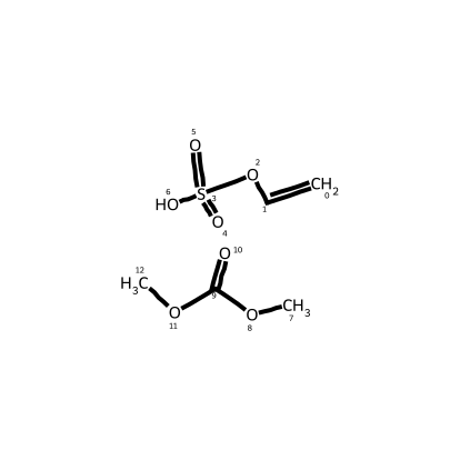 C=COS(=O)(=O)O.COC(=O)OC